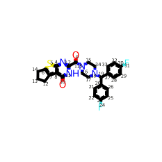 O=C(c1nc2sc3c(c2c(=O)[nH]1)CCC3)N1CCN(C(c2ccc(F)cc2)c2ccc(F)cc2)CC1